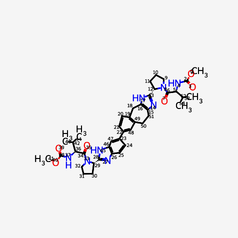 COC(=O)N[C@H](C(=O)N1CCC[C@H]1c1nc2c([nH]1)Cc1ccc(-c3ccc4nc([C@@H]5CCCN5C(=O)[C@@H](NC(=O)OC)C(C)C)[nH]c4c3)cc1CC2)C(C)C